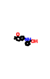 CC1(C)CCc2cc(Nc3ccccc3CO)ccc2C1=O